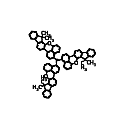 CC1(C)c2ccccc2-c2ccc3c(c21)Oc1cccc2c(P(c4ccc5c6c(cccc46)Oc4c-5ccc5c4C(C)(C)c4ccccc4-5)c4ccc5c6c(cccc46)Oc4c-5ccc5c4C(C)(C)c4ccccc4-5)ccc-3c12